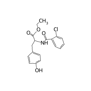 CCOC(=O)C(Cc1ccc(O)cc1)NC(=O)c1ccccc1Cl